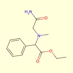 CCOC(=O)C(c1ccccc1)N(C)CC(N)=O